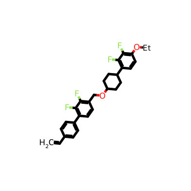 C=Cc1ccc(-c2ccc(COC3CCC(c4ccc(OCC)c(F)c4F)CC3)c(F)c2F)cc1